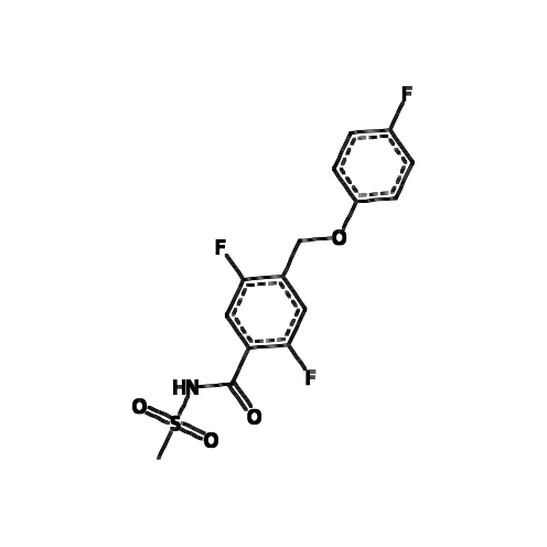 CS(=O)(=O)NC(=O)c1cc(F)c(COc2ccc(F)cc2)cc1F